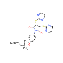 COCCC(C)(C)Oc1ccc(N2C(=O)C(Sc3ncccn3)C(Sc3ncccn3)C2=O)cc1